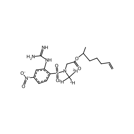 [2H]C([2H])([2H])N(CC(=O)OC(C)CCCC=C)S(=O)(=O)c1ccc([N+](=O)[O-])cc1NC(=N)N